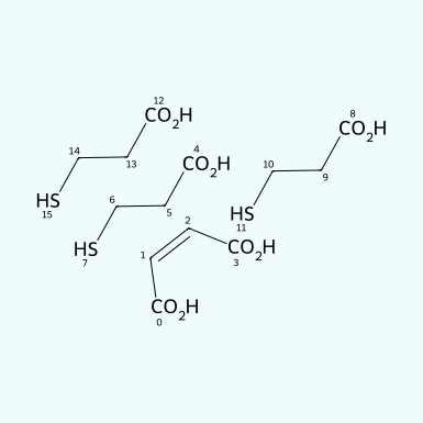 O=C(O)/C=C\C(=O)O.O=C(O)CCS.O=C(O)CCS.O=C(O)CCS